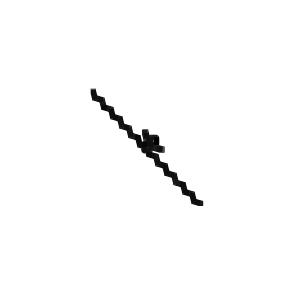 C=COC=C.CCCCCCCCCCCCOCCCCCCCCCCCC